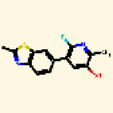 Cc1nc2ccc(-c3cc(O)c(C(F)(F)F)nc3F)cc2s1